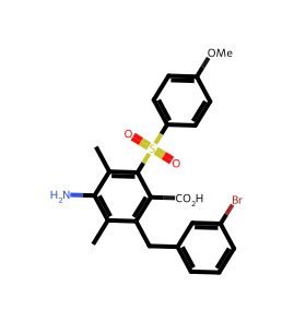 COc1ccc(S(=O)(=O)c2c(C)c(N)c(C)c(Cc3cccc(Br)c3)c2C(=O)O)cc1